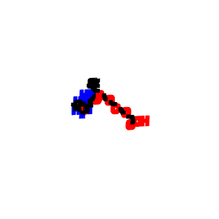 CC(C(COCCOCCOCCOCCC(=O)O)NC(=O)[C@@H](CN)NC(=O)OC(C)(C)C)[Si](C)(C)C